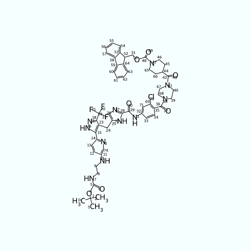 CC(C)(C)OC(=O)NCCNc1ccc(-c2[nH]nc(C(F)(F)F)c2Cc2cnc(C(=O)Nc3ccc(C(=O)N4CCN(C(=O)C5CCN(C(=O)OCC6c7ccccc7-c7ccccc76)CC5)CC4)c(Cl)c3)[nH]2)nc1